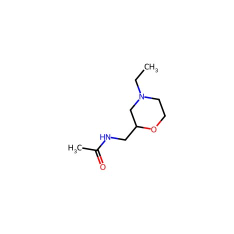 CCN1CCOC(CNC(C)=O)C1